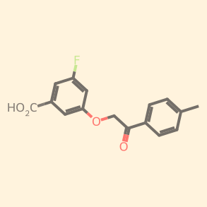 Cc1ccc(C(=O)COc2cc(F)cc(C(=O)O)c2)cc1